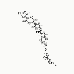 C=CC(=O)OCCCOc1ccc2cc(C(=O)Oc3ccc(C4CCC(CCC)CC4)cc3)ccc2c1